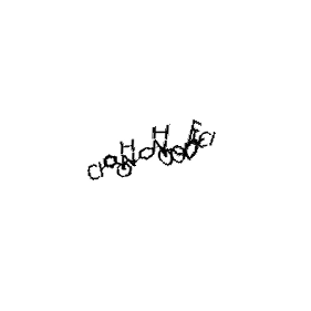 O=C(COc1ccc(Cl)c(F)c1)N[C@H]1CC[C@H](CNC(=O)c2cccc(Cl)c2)CC1